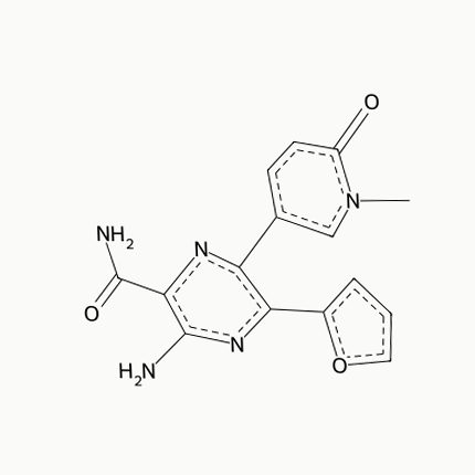 Cn1cc(-c2nc(C(N)=O)c(N)nc2-c2ccco2)ccc1=O